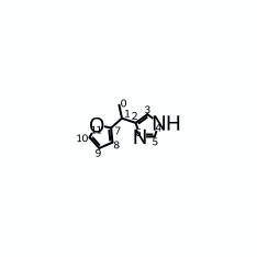 CC(c1c[nH]cn1)c1ccco1